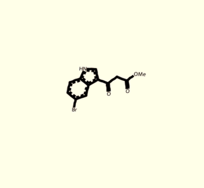 COC(=O)CC(=O)c1c[nH]c2ccc(Br)cc12